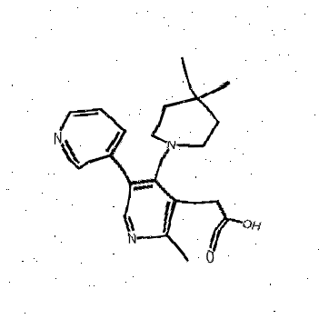 Cc1ncc(-c2cccnc2)c(N2CCC(C)(C)CC2)c1CC(=O)O